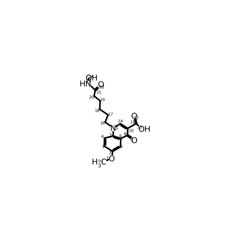 COc1ccc2c(c1)c(=O)c(C(=O)O)cn2CCCCCC(=O)NO